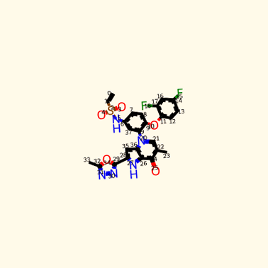 C=CS(=O)(=O)Nc1ccc(Oc2ccc(F)cc2F)c(-n2cc(C)c(=O)c3[nH]c(-c4nnc(C)o4)cc32)c1